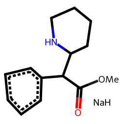 COC(=O)C(c1ccccc1)C1CCCCN1.[NaH]